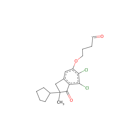 CC1(C2CCCC2)Cc2cc(OCCC[C]=O)c(Cl)c(Cl)c2C1=O